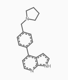 c1cc(-c2ccc(CN3CCCC3)cc2)c2cc[nH]c2n1